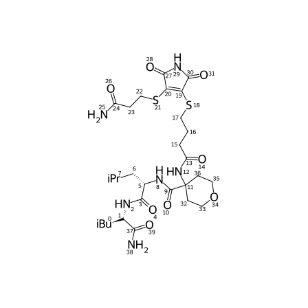 CC[C@H](C)[C@H](NC(=O)[C@H](CC(C)C)NC(=O)C1(NC(=O)CCCSC2=C(SCCC(N)=O)C(=O)NC2=O)CCOCC1)C(N)=O